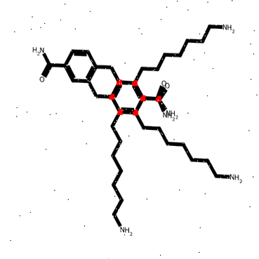 NCCCCCCCc1c(CCCCCCCN)c2c(c(CCCCCCCN)c1C(N)=O)C1c3ccc(C(N)=O)cc3C2c2ccc(C(N)=O)cc21